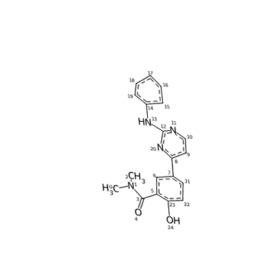 CN(C)C(=O)c1cc(-c2ccnc(Nc3ccccc3)n2)ccc1O